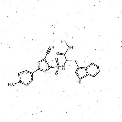 C#Cc1cc(-c2ccc(C)cc2)sc1S(=O)(=O)NC(Cc1c[nH]c2ccccc12)C(=O)NO